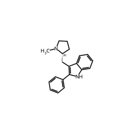 CN1CCC[C@@H]1Cc1c(-c2ccccc2)[nH]c2ccccc12